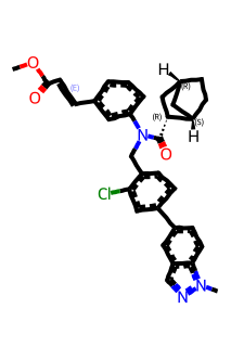 COC(=O)/C=C/c1cccc(N(Cc2ccc(-c3ccc4c(cnn4C)c3)cc2Cl)C(=O)[C@@H]2C[C@@H]3CC[C@H]2C3)c1